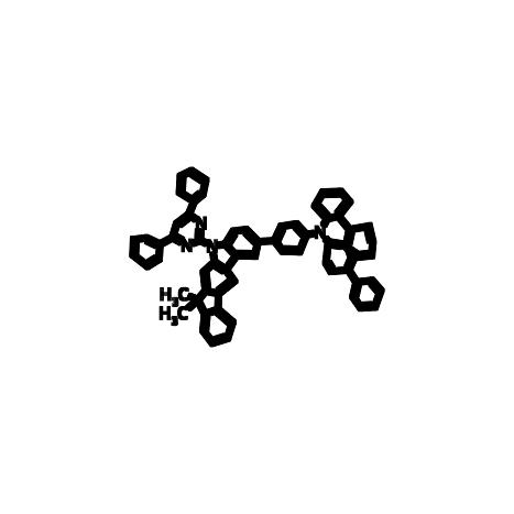 CC1(C)c2ccccc2-c2cc3c4cc(-c5ccc(N(c6ccc(-c7ccccc7)cc6)c6ccccc6-c6ccccc6)cc5)ccc4n(-c4nc(-c5ccccc5)cc(-c5ccccc5)n4)c3cc21